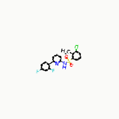 Cc1c(Cl)cccc1S(=O)(=O)Nc1cccc(-c2ccc(F)cc2F)n1